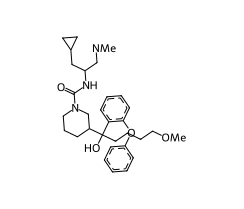 CNCC(CC1CC1)NC(=O)N1CCCC(C(O)(CCCCOC)c2ccccc2Oc2ccccc2)C1